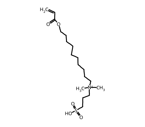 C=CC(=O)OCCCCCCCCCC[N+](C)(C)CCCS(=O)(=O)O